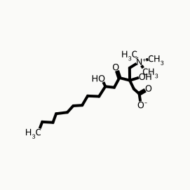 CCCCCCCCCC(O)CC(=O)C(O)(CC(=O)[O-])C[N+](C)(C)C